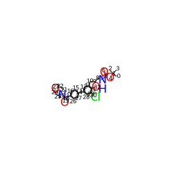 CC(C)(C)OC(=O)NCC1Cc2cc(-c3ccc(C(=O)N4CCOCC4)cc3)cc(Cl)c2O1